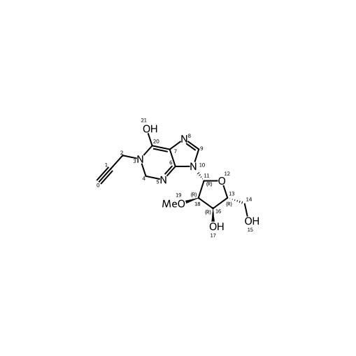 C#CCN1CN=c2c(ncn2[C@@H]2O[C@H](CO)[C@@H](O)[C@H]2OC)=C1O